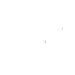 CC(=O)OCCN1CCN(c2cccc(N)c2)CC1